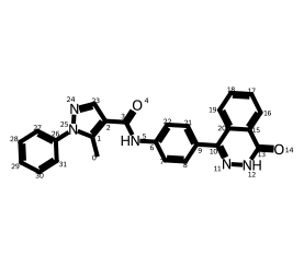 Cc1c(C(=O)Nc2ccc(-c3n[nH]c(=O)c4ccccc34)cc2)cnn1-c1ccccc1